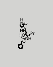 CC(C)C[C@@H](NC(=O)OCc1ccccc1)C(O)CNC[C@@H]1CCNC1=O